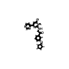 Cn1c(NCC(=O)c2cccc(OC3CCCC3)c2)nc(-c2ccncn2)cc1=O